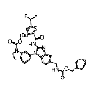 CC(C)(C)OC(=O)N1CCc2ccc(-n3c(NC(=O)c4ccc(C(F)F)s4)nc4cc(CNC(=O)OCc5ccccc5)ccc43)cc21